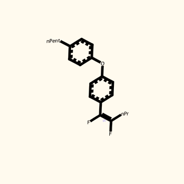 CCCCCc1ccc(Oc2ccc(/C(F)=C(/F)CCC)cc2)cc1